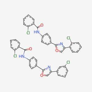 O=C(Nc1ccc(-c2nc(-c3cccc(Cl)c3)co2)cc1)c1ccccc1Cl.O=C(Nc1ccc(-c2nc(-c3ccccc3Cl)co2)cc1)c1ccccc1Cl